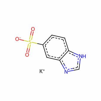 O=S(=O)([O-])c1ccc2[nH]cnc2c1.[K+]